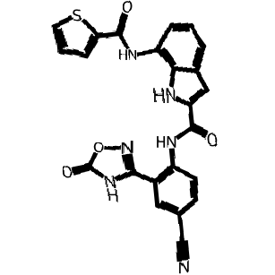 N#Cc1ccc(NC(=O)c2cc3cccc(NC(=O)c4cccs4)c3[nH]2)c(-c2noc(=O)[nH]2)c1